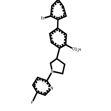 CCc1ccccc1-c1ccc(C2CCN(c3ccc(F)cn3)C2)c(C(=O)O)c1